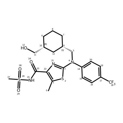 Cc1sc(N(C[C@H]2CCC[C@@H](CO)C2)c2ccc(C(F)(F)F)cc2)nc1C(=O)NS(C)(=O)=O